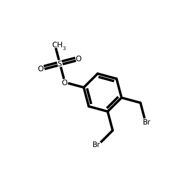 CS(=O)(=O)Oc1ccc(CBr)c(CBr)c1